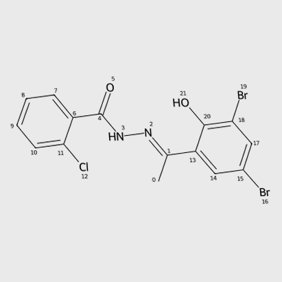 C/C(=N\NC(=O)c1ccccc1Cl)c1cc(Br)cc(Br)c1O